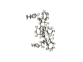 CC1(C)C(/C=C/C2=C(S(=O)(=O)c3ccccc3)C(=C/C=C3/N(CCO)c4ccccc4C3(C)C)/CCC2)=[N+](CCO)c2ccccc21